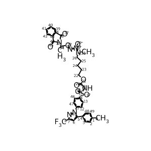 Cc1ccc(-c2cc(C(F)(F)F)nn2-c2ccc(S(=O)(=O)NC(=O)OCCCCCN(C)[N+]([O-])=NOC(C)N3C(=O)c4ccccc4C3=O)cc2)cc1